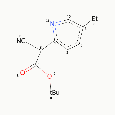 CCc1ccc(C(C#N)C(=O)OC(C)(C)C)nc1